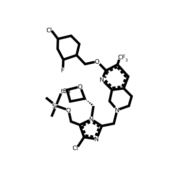 CC(C)(C)[Si](C)(C)OCc1c(Cl)nc(CN2CCc3cc(C(F)(F)F)c(OCC4CCC(Cl)CC4F)nc3C2)n1C[C@@H]1CCO1